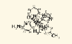 C[C@@H]1CN(c2nccc(C3C=CCC[N+]3(C(=O)CC(C)(C)C)S(=O)(=O)c3cccc(N)n3)c2C(N)=O)C(C)(C)C1